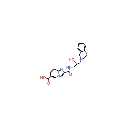 O=C(O)c1ccc2nc(C(=O)NC[C@@H](O)CN3CCc4ccccc4C3)cn2c1